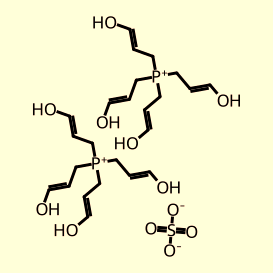 O=S(=O)([O-])[O-].OC=CC[P+](CC=CO)(CC=CO)CC=CO.OC=CC[P+](CC=CO)(CC=CO)CC=CO